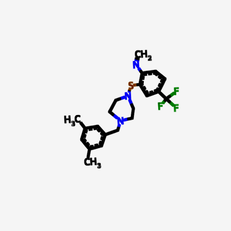 C=Nc1ccc(C(F)(F)F)cc1SN1CCN(Cc2cc(C)cc(C)c2)CC1